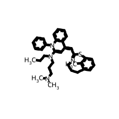 CCCN(CCCN(C)C)C1=C/C(=C\C2=N/CCCc3cccc(c3C)S2)c2ccccc2N1c1ccccc1